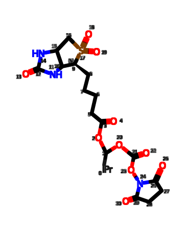 CC(C)C(OC(=O)CCCC[C@H]1C2NC(=O)NC2CS1(=O)=O)OC(=O)ON1C(=O)CCC1=O